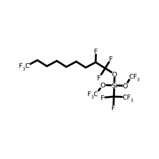 FC(CCCCCCC(F)(F)F)C(F)(F)O[Si](OC(F)(F)F)(OC(F)(F)F)C(F)(F)C(F)(F)F